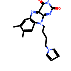 Cc1cc2nc3c(=O)[nH]c(=O)nc-3n(CCCCn3cccc3)c2cc1C